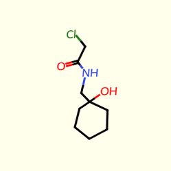 O=C(CCl)NCC1(O)CCCCC1